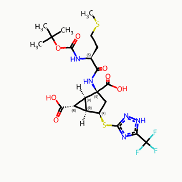 CSCC[C@H](NC(=O)OC(C)(C)C)C(=O)N[C@@]1(C(=O)O)C[C@@H](Sc2n[nH]c(C(F)(F)F)n2)[C@H]2[C@H](C(=O)O)[C@H]21